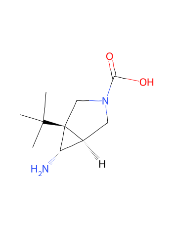 CC(C)(C)[C@@]12CN(C(=O)O)C[C@H]1[C@@H]2N